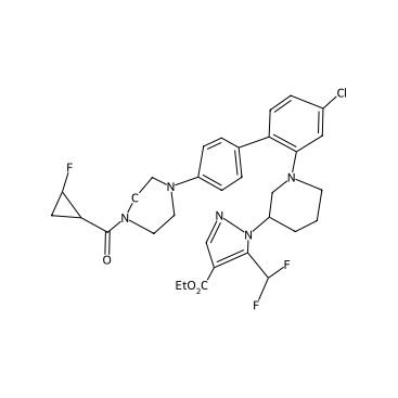 CCOC(=O)c1cnn(C2CCCN(c3cc(Cl)ccc3-c3ccc(N4CCN(C(=O)C5CC5F)CC4)cc3)C2)c1C(F)F